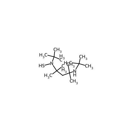 CC(C)(C)NC(C)(C)CC(C)(C)N(S)C(C)(C)C